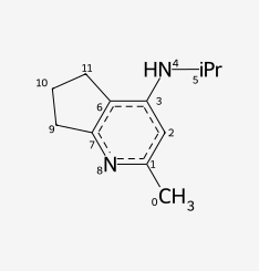 Cc1cc(NC(C)C)c2c(n1)CCC2